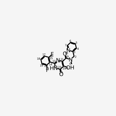 CN(Cc1ccccn1)C(=O)c1nc(-c2c(F)cccc2F)[nH]c(=O)c1O